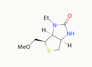 CCN1C(=O)N[C@H]2CS[C@@H](COC)[C@H]21